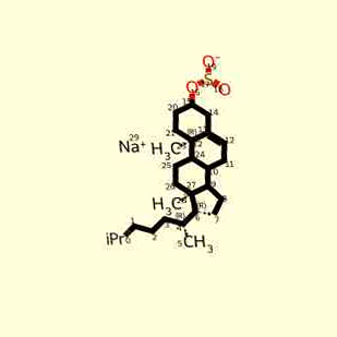 CC(C)CCC[C@@H](C)[C@H]1CCC2C3CC=C4CC(OS(=O)[O-])CC[C@]4(C)C3CC[C@@]21C.[Na+]